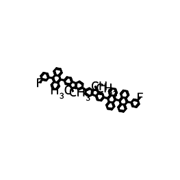 CC1(C)c2cc(-c3ccc4c(c3)C(C)(C)c3cc(-c5c6ccccc6c(-c6c7ccccc7c(-c7cccc(F)c7)c7ccccc67)c6ccccc56)ccc3-4)ccc2-c2ccc(-c3c4ccccc4c(-c4cccc(F)c4)c4ccccc34)cc21